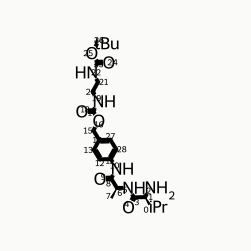 CC(C)[C@H](N)C(=O)N[C@@H](C)C(=O)Nc1ccc(COC(=O)NCCNC(=O)OC(C)(C)C)cc1